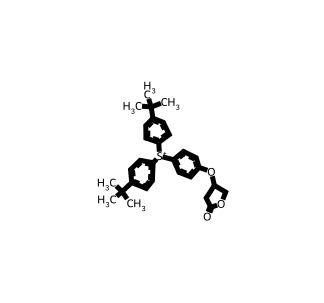 CC(C)(C)c1ccc([S+](c2ccc(OC3COC(=O)C3)cc2)c2ccc(C(C)(C)C)cc2)cc1